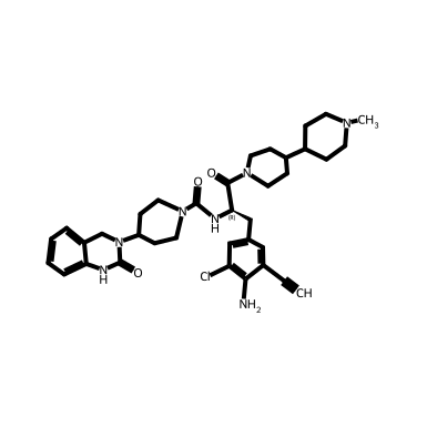 C#Cc1cc(C[C@@H](NC(=O)N2CCC(N3Cc4ccccc4NC3=O)CC2)C(=O)N2CCC(C3CCN(C)CC3)CC2)cc(Cl)c1N